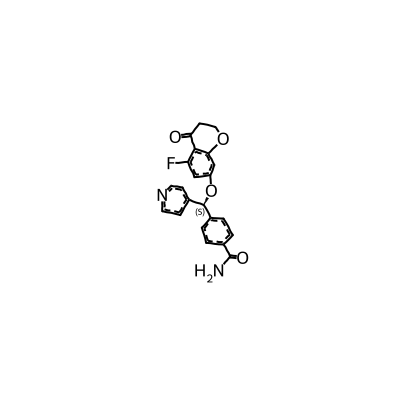 NC(=O)c1ccc([C@H](Oc2cc(F)c3c(c2)OCCC3=O)c2ccncc2)cc1